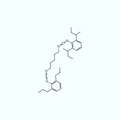 CCCc1cccc(CCC)c1N=C=NCCCCCN=C=Nc1c(C(C)CC)cccc1C(C)CC